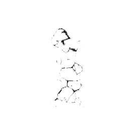 CN1C(=O)C=C[C@]2(C)[C@H]3CC[C@]4(C)[C@@H](C(NC=O)OC56CC7CC(CC(C7)C5)C6)CC[C@H]4[C@@H]3CC[C@@H]12